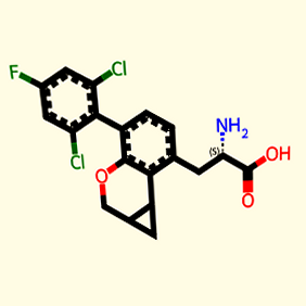 N[C@@H](Cc1ccc(-c2c(Cl)cc(F)cc2Cl)c2c1C1CC1CO2)C(=O)O